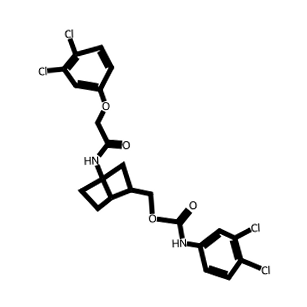 O=C(COc1ccc(Cl)c(Cl)c1)NC12CCC1C(COC(=O)Nc1ccc(Cl)c(Cl)c1)C2